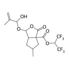 C=C(C)C(O)OC1OC(=O)C2(C(=O)OC(C(F)(F)F)C(F)(F)F)CC(C)CC12